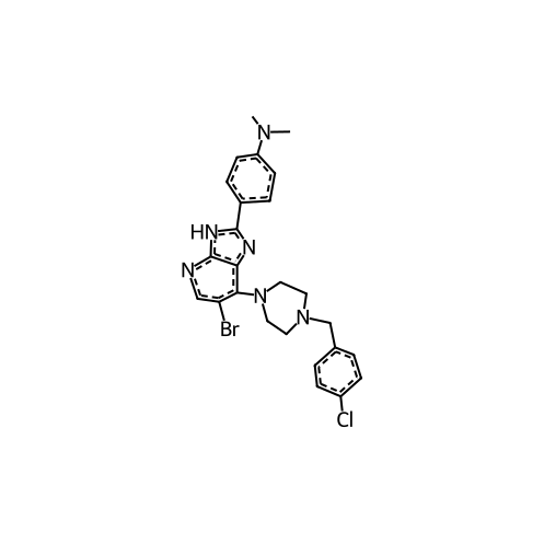 CN(C)c1ccc(-c2nc3c(N4CCN(Cc5ccc(Cl)cc5)CC4)c(Br)cnc3[nH]2)cc1